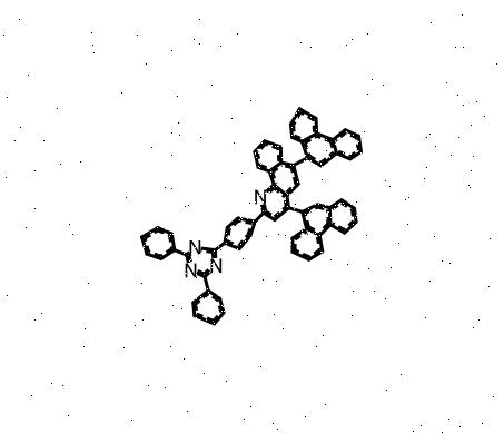 c1ccc(-c2nc(-c3ccccc3)nc(-c3ccc(-c4cc(-c5cc6ccccc6c6ccccc56)c5cc(-c6cc7ccccc7c7ccccc67)c6ccccc6c5n4)cc3)n2)cc1